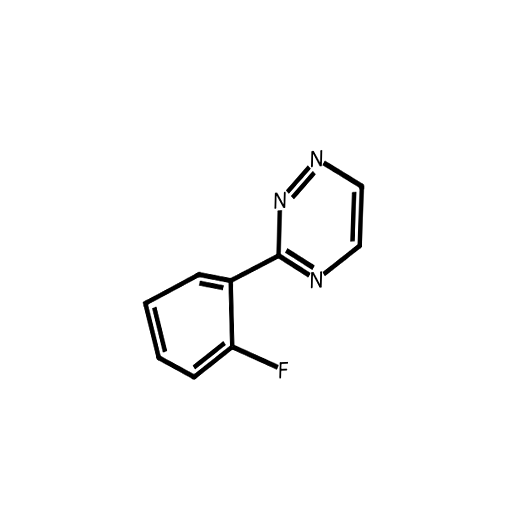 Fc1ccccc1-c1nccnn1